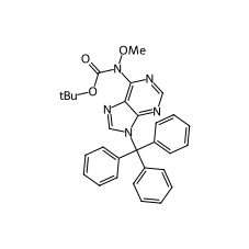 CON(C(=O)OC(C)(C)C)c1ncnc2c1ncn2C(c1ccccc1)(c1ccccc1)c1ccccc1